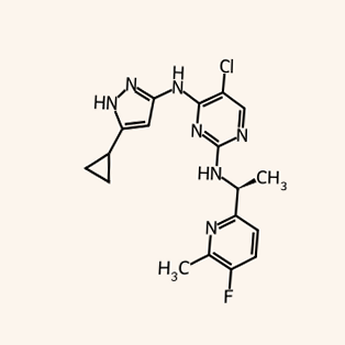 Cc1nc([C@H](C)Nc2ncc(Cl)c(Nc3cc(C4CC4)[nH]n3)n2)ccc1F